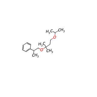 CC(C)OCCC(C)(C)OCC(C)c1ccccc1